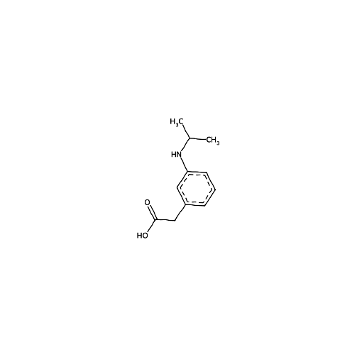 CC(C)Nc1cccc(CC(=O)O)c1